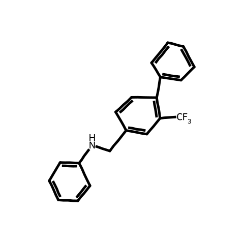 FC(F)(F)c1cc(CNc2ccccc2)ccc1-c1ccccc1